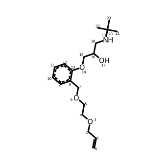 C=CCOCCOCc1ccccc1OCC(O)CNC(C)(C)C